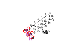 CCCCCCCCCCCCO[PH](=O)[O-].CCCCCCCCCCCCO[PH](=O)[O-].[Na+].[Na+]